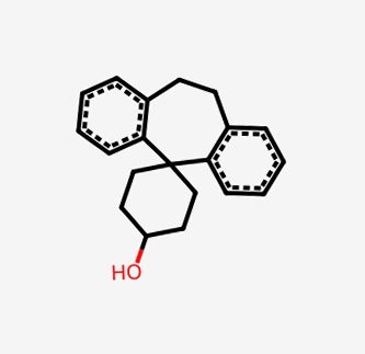 OC1CCC2(CC1)c1ccccc1CCc1ccccc12